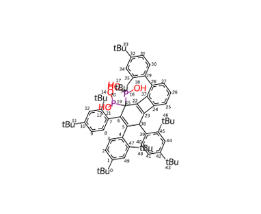 CC(C)(C)c1ccc(C2=C(c3ccc(C(C)(C)C)cc3C(C)(C)C)C(P(O)O)(P(O)O)C3=C(c4cccc(-c5ccc(C(C)(C)C)cc5C(C)(C)C)c43)C2c2ccc(C(C)(C)C)cc2C(C)(C)C)c(C(C)(C)C)c1